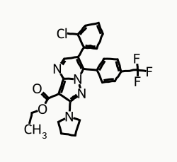 CCOC(=O)c1c(N2CCCC2)nn2c(-c3ccc(C(F)(F)F)cc3)c(-c3ccccc3Cl)cnc12